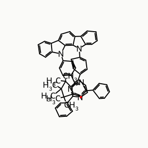 CC1(C)c2cccc(-c3ccc(-n4c5ccccc5c5ccc6c7ccccc7n(-c7ccc(-c8nc(-c9ccccc9)nc(-c9ccccc9)n8)cc7)c6c54)cc3)c2C(C)(C)C1(C)C